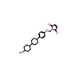 CCCC1CCC(C2CCC(c3ccc(OCN4C(=O)C=CC4=O)cc3)CC2)CC1